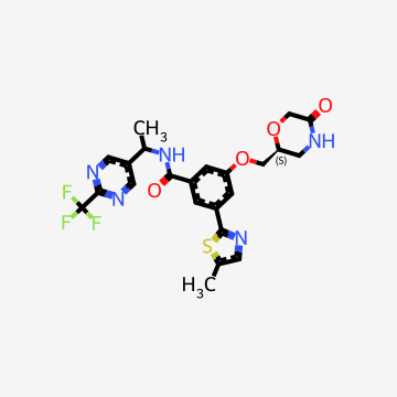 Cc1cnc(-c2cc(OC[C@@H]3CNC(=O)CO3)cc(C(=O)NC(C)c3cnc(C(F)(F)F)nc3)c2)s1